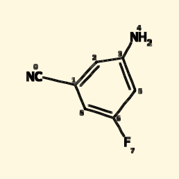 N#Cc1cc(N)cc(F)c1